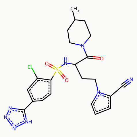 CC1CCN(C(=O)C(CCn2cccc2C#N)NS(=O)(=O)c2ccc(-c3nnn[nH]3)cc2Cl)CC1